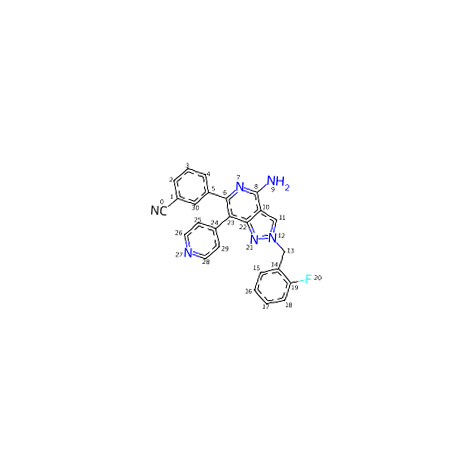 N#Cc1cccc(-c2nc(N)c3cn(Cc4ccccc4F)nc3c2-c2ccncc2)c1